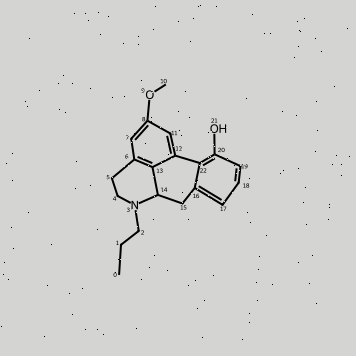 CCCN1CCc2cc(OC)cc3c2C1Cc1cccc(O)c1-3